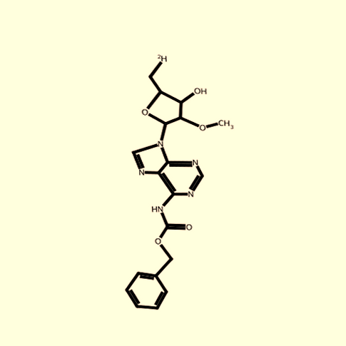 [2H]CC1OC(n2cnc3c(NC(=O)OCc4ccccc4)ncnc32)C(OC)C1O